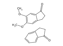 COc1cc2c(cc1OC)C(=O)CC2.O=C1CCc2ccccc21